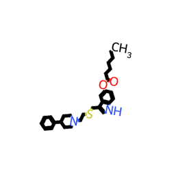 CCCCCCC(=O)Oc1ccc2[nH]cc(CSCCN3CCC(c4ccccc4)CC3)c2c1